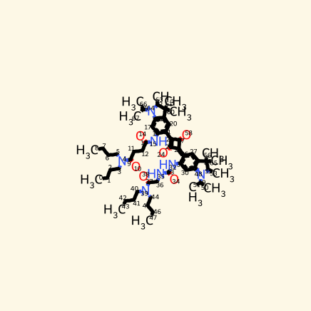 CCCCN(CCCC)C(=O)CCC(=O)Nc1cc2c(cc1C1=C([O-])/C(=c3/cc4c(cc3NC(=O)NCC(=O)N(CCCC)CCCC)=[N+](C(C)C)C(C)C4(C)C)C1=O)C(C)(C)C(C)N2C(C)C